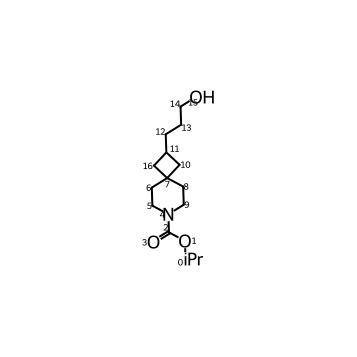 CC(C)OC(=O)N1CCC2(CC1)CC(CCCO)C2